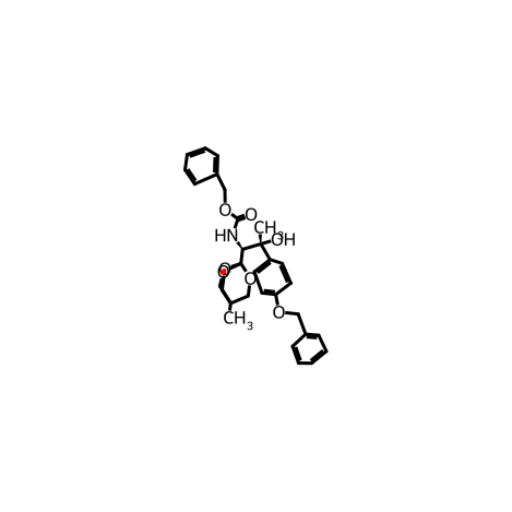 CC12COC([C@@H](NC(=O)OCc3ccccc3)[C@](C)(O)c3ccc(OCc4ccccc4)cc3)(OC1)OC2